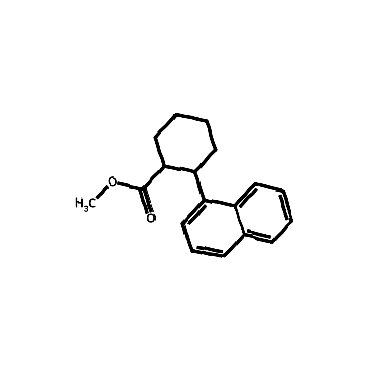 COC(=O)C1CCCCC1c1cccc2ccccc12